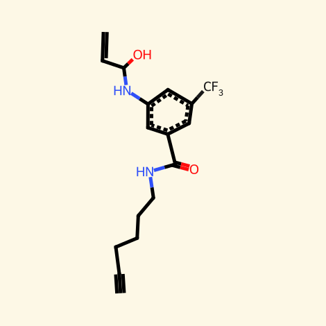 C#CCCCCNC(=O)c1cc(NC(O)C=C)cc(C(F)(F)F)c1